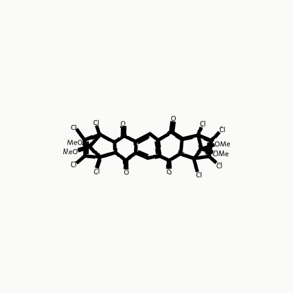 COC1(OC)C2(Cl)C(Cl)=C(Cl)C1(Cl)C1C(=O)c3cc4c(cc3C(=O)C12)C(=O)C1C(C4=O)C2(Cl)C(Cl)=C(Cl)C1(Cl)C2(OC)OC